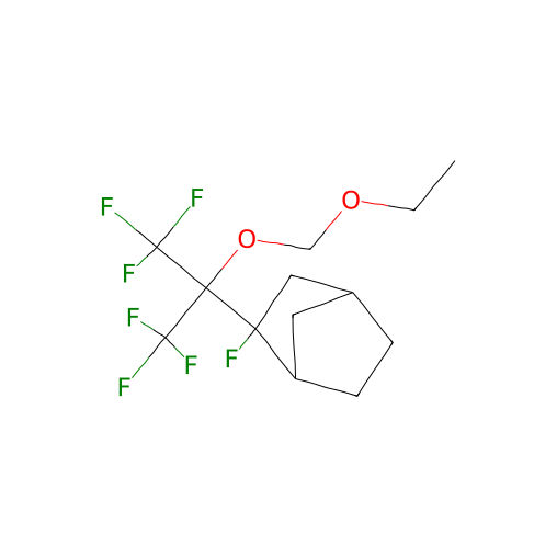 CCOCOC(C(F)(F)F)(C(F)(F)F)C1(F)CC2CCC1C2